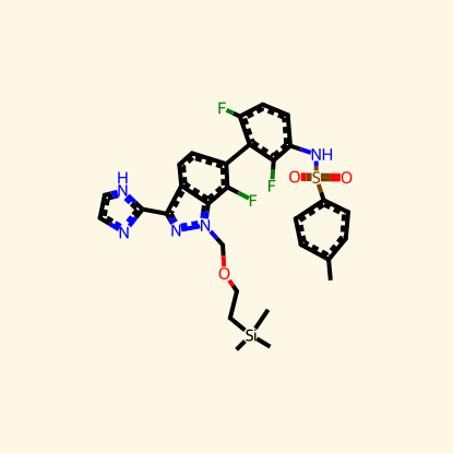 Cc1ccc(S(=O)(=O)Nc2ccc(F)c(-c3ccc4c(-c5ncc[nH]5)nn(COCC[Si](C)(C)C)c4c3F)c2F)cc1